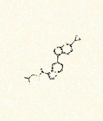 O=C(NCC(F)F)c1cnn2ccc(-c3c[nH]c4nc(C5CC5)ccc34)cc12